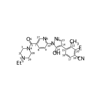 CCN1CCN(C(=O)c2ccc(-n3ncc(-c4ccc(C#N)c(F)c4C)c3O)nc2)CC1